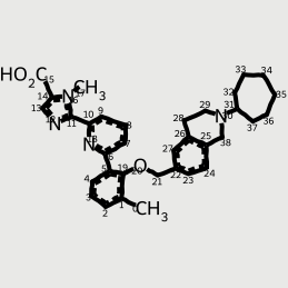 Cc1cccc(-c2cccc(-c3ncc(C(=O)O)n3C)n2)c1OCc1ccc2c(c1)CCN(C1CCCCCC1)C2